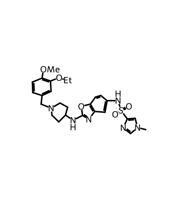 CCOc1cc(CN2CCC(Nc3nc4cc(NS(=O)(=O)c5cn(C)cn5)ccc4o3)CC2)ccc1OC